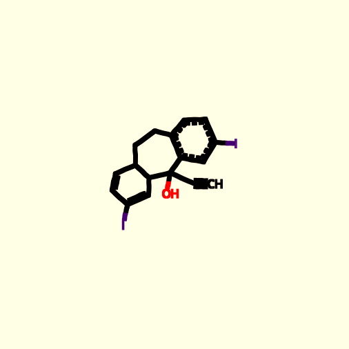 C#CC1(O)c2cc(I)ccc2CCC2C=CC(I)=CC21